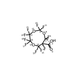 O=C(O)C1(F)C(F)(F)OC(F)(F)OC(F)(F)C(F)(F)OC1(F)F